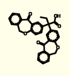 CCC(C(=O)O)(c1ccc2c(c1)C(=O)c1ccccc1CO2)c1ccc2c(c1)C(=O)c1ccccc1CO2